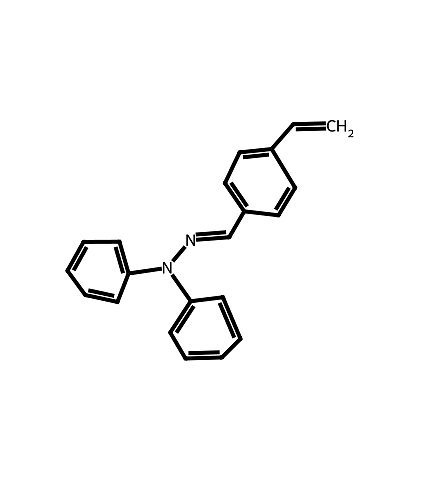 C=Cc1ccc(C=NN(c2ccccc2)c2ccccc2)cc1